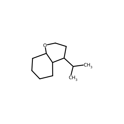 CC(C)C1CCOC2CCCCC21